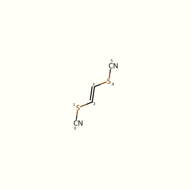 N#CSC=CSC#N